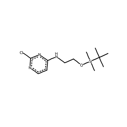 CC(C)(C)[Si](C)(C)OCCNc1ccnc(Cl)n1